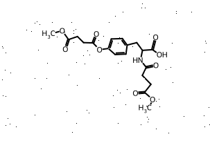 COC(=O)CCC(=O)NC(Cc1ccc(OC(=O)CCC(=O)OC)cc1)C(=O)O